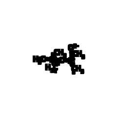 C[S+](C)C.C[S+](C)C.[O-2]